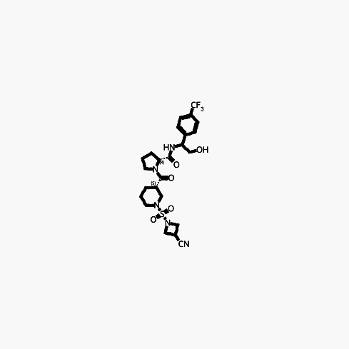 N#CC1CN(S(=O)(=O)N2CCC[C@H](C(=O)N3CCC[C@@H]3C(=O)NC(CO)c3ccc(C(F)(F)F)cc3)C2)C1